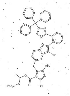 CCCCc1nc(Cl)c(C(=O)OC(C)OC(=O)OCC)n1Cc1ccc2oc(-c3ccccc3-c3nnn(C(c4ccccc4)(c4ccccc4)c4ccccc4)n3)c(Br)c2c1